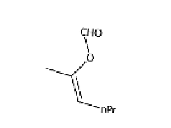 CCCC=C(C)OC=O